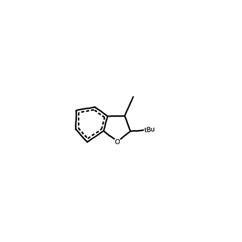 CC1c2ccccc2OC1C(C)(C)C